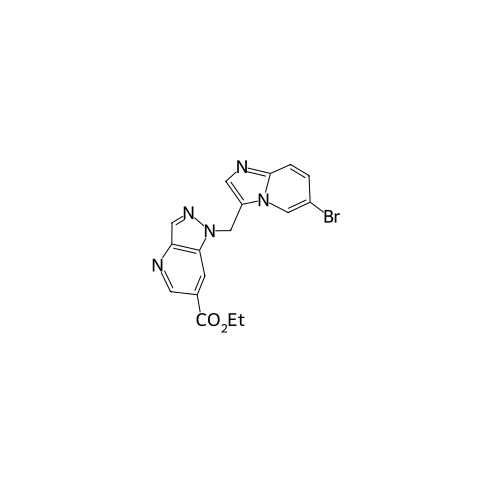 CCOC(=O)c1cnc2cnn(Cc3cnc4ccc(Br)cn34)c2c1